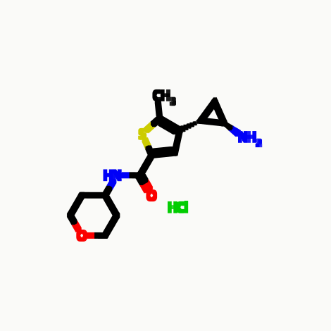 Cc1sc(C(=O)NC2CCOCC2)cc1[C@@H]1C[C@H]1N.Cl